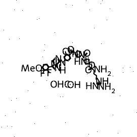 COc1ccc(-c2cnc3c(Nc4ccc(C(=O)N5CCN(C(=O)[C@@H]6C[C@@H](OC(=O)C(N)CCCNC(=N)N)CN6)CC5)c(C)c4)nccn23)c(F)c1F.O=CO